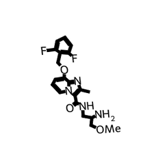 COCC(N)CNC(=O)c1c(C)nc2c(OCc3c(F)cccc3F)cccn12